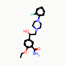 CCOc1ccc(C(O)CN2CCN(c3ccccc3F)CC2)cc1C(N)=O